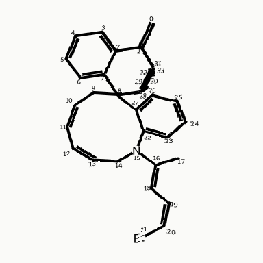 C=C1c2ccccc2C2(C/C=C\C=C/CN(/C(C)=C/C=C\CC)c3ccccc32)c2ccccc21